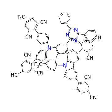 Cc1cc(C#N)cc(C#N)c1-c1ccc2c(c1)c1cc(-c3c(C#N)cc(C#N)cc3C#N)ccc1n2-c1ccc(C(F)(F)F)cc1-c1ccc(-c2nc(-c3ccccc3)nc(-c3ccccc3)n2)cc1-n1c2ccc(-c3c(C#N)cc(C#N)cc3C#N)cc2c2cc(-c3c(C#N)cc(C#N)cc3C#N)ccc21